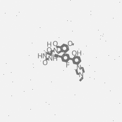 CCN1CCN(c2ccc(O)c(-c3ccc(C#C[C@]4(CN5Cc6ccc(OC)cc6C5=O)NC(=O)N[C@@]4(C)O)cc3F)c2)CC1